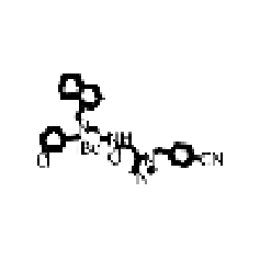 CC[C@H](C)[C@@H](CN(Cc1cccc(Cl)c1)Cc1cccc2ccccc12)NC(=O)Cc1cncn1Cc1ccc(C#N)cc1